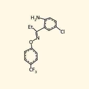 CC/C(=N\Oc1ccc(C(F)(F)F)cc1)c1cc(Cl)ccc1N